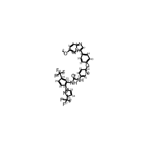 COc1ccc2ncc(-c3ccc(Oc4ccc(NC(=O)Nc5cc(C(F)(F)F)ccc5-n5ccc(C(F)(F)F)n5)cn4)cc3)n2n1